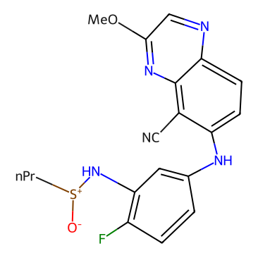 CCC[S+]([O-])Nc1cc(Nc2ccc3ncc(OC)nc3c2C#N)ccc1F